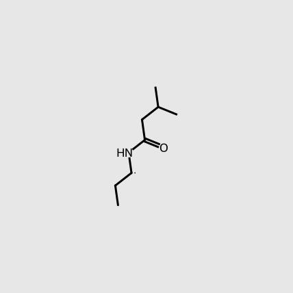 CC[CH]NC(=O)CC(C)C